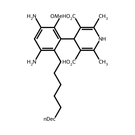 CCCCCCCCCCCCCCCc1c(N)cc(N)c(OC)c1C1C(C(=O)O)=C(C)NC(C)=C1C(=O)O